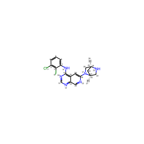 Fc1c(Cl)cccc1Nc1ncnc2cnc(N3C[C@@H]4C[C@H]3CN4)cc12